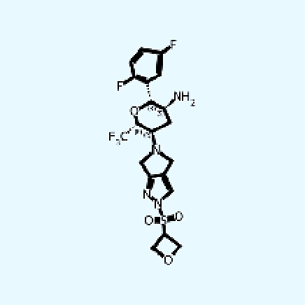 N[C@H]1C[C@@H](N2Cc3cn(S(=O)(=O)C4COC4)nc3C2)[C@H](C(F)(F)F)O[C@@H]1c1cc(F)ccc1F